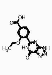 CCOc1cc(C(=O)O)ccc1-c1nc2[nH]nnc2c(=O)[nH]1